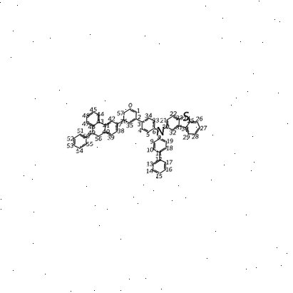 C1=CC(c2ccc(N(c3ccc(-c4ccccc4)cc3)c3ccc4sc5ccccc5c4c3)cc2)=CC(c2ccc3c(c2)-c2ccccc2C(c2ccccc2)C3)C1